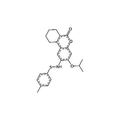 Cc1ccc(SNc2cc3c4c(c(=O)oc3cc2OC(C)C)CCCC4)cc1